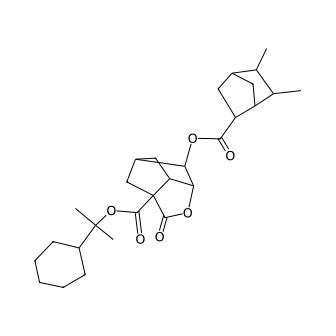 CC1C2CC(C(=O)OC3C4CC5C3OC(=O)C5(C(=O)OC(C)(C)C3CCCCC3)C4)C(C2)C1C